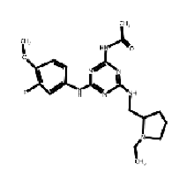 CCN1CCCC1CNc1nc(NC(C)=O)nc(Nc2ccc(OC)c(F)c2)n1